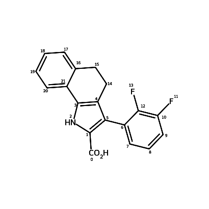 O=C(O)c1[nH]c2c(c1-c1cccc(F)c1F)CCc1ccccc1-2